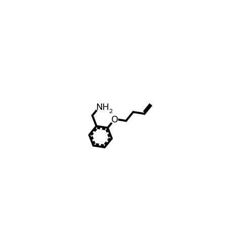 C=CCCOc1ccccc1CN